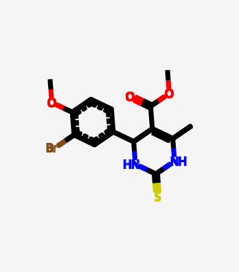 COC(=O)C1=C(C)NC(=S)NC1c1ccc(OC)c(Br)c1